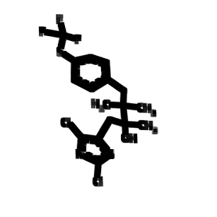 CC(C)(Cc1ccc(SC(F)(F)F)cc1)C(C)(O)Cc1sc(Cl)nc1Cl